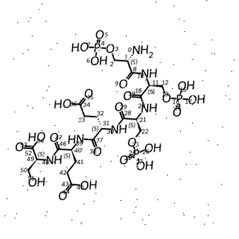 N[C@@H](COP(=O)(O)O)C(=O)N[C@@H](COP(=O)(O)O)C(=O)N[C@@H](COP(=O)(O)O)C(=O)N[C@@H](CCC(=O)O)C(=O)N[C@@H](CCC(=O)O)C(=O)N[C@@H](CO)C(=O)O